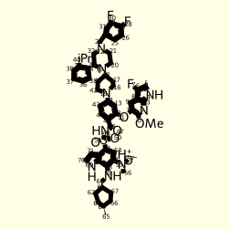 COc1nc2[nH]cc(F)c2cc1Oc1cc(N2CCC(N3CCN(Cc4ccc(F)c(F)c4)C[C@H]3c3ccccc3C(C)C)CC2)ccc1C(=O)NS(=O)(=O)c1cc([NH+](C)[O-])c(NC[C@H]2CC[C@@H](C)CC2)c2[nH]ccc12